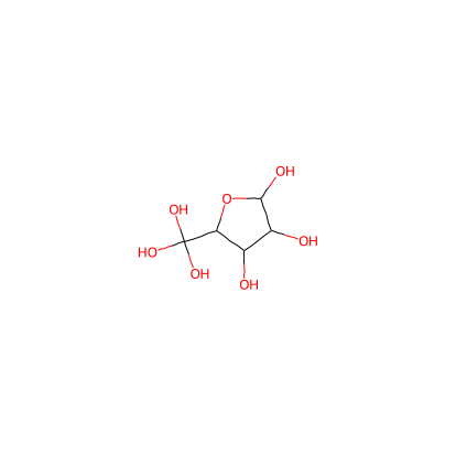 OC1OC(C(O)(O)O)C(O)C1O